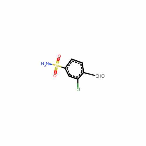 NS(=O)(=O)c1ccc(C=O)c(Cl)c1